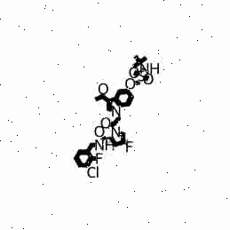 CC(=O)c1cn(CC(=O)N2C[C@H](F)C[C@H]2C(=O)NCc2cccc(Cl)c2F)c2ccc(OCS(=O)(=O)NC(C)(C)C)cc12